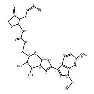 CC/C=C\CC1C(=O)CCC1NC(=O)NCC1OC2OC(c3cn(CC(C)C)c4cc(OC)ccc34)=NC2C(O)C1O